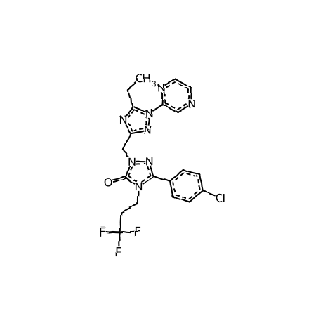 CCc1nc(Cn2nc(-c3ccc(Cl)cc3)n(CCC(F)(F)F)c2=O)nn1-c1cnccn1